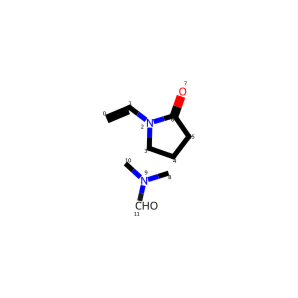 C=CN1CCCC1=O.CN(C)C=O